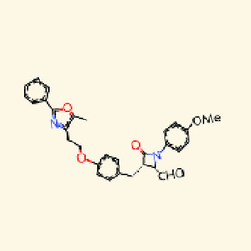 COc1ccc(N2C(=O)[C@@H](Cc3ccc(OCCc4nc(-c5ccccc5)oc4C)cc3)[C@H]2C=O)cc1